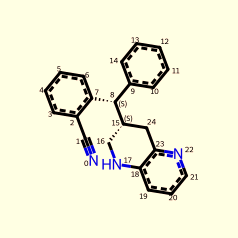 N#Cc1ccccc1[C@H](c1ccccc1)[C@H]1CNc2cccnc2C1